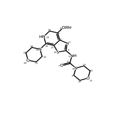 COC1=c2nc(NC(=O)N3CCOCC3)sc2=C(N2CCOCC2)NC1